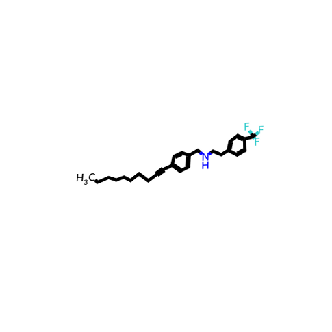 CCCCCCCCC#Cc1ccc(CNCCc2ccc(C(F)(F)F)cc2)cc1